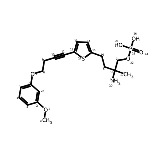 COc1cccc(OCCC#Cc2ccc(CCC(C)(N)COP(=O)(O)O)s2)c1